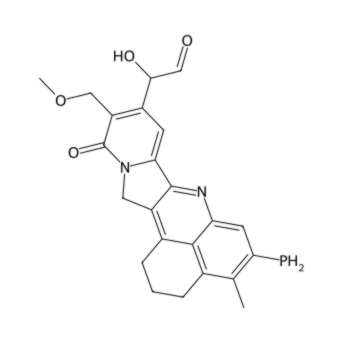 COCc1c(C(O)C=O)cc2n(c1=O)Cc1c-2nc2cc(P)c(C)c3c2c1CCC3